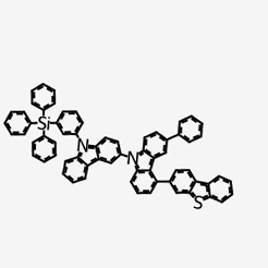 c1ccc(-c2ccc3c(c2)c2c(-c4ccc5c(c4)sc4ccccc45)cccc2n3-c2ccc3c(c2)c2ccccc2n3-c2cccc([Si](c3ccccc3)(c3ccccc3)c3ccccc3)c2)cc1